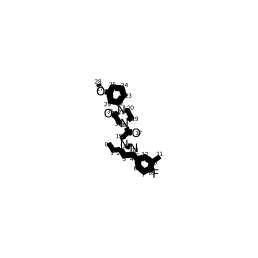 CCc1cc(-c2ccc(F)c(C)c2)nn1CC(=O)N1CCN(c2cccc(OC)c2)C(=O)C1